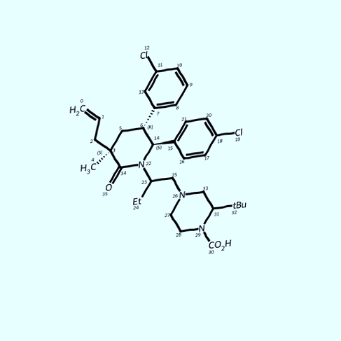 C=CC[C@@]1(C)C[C@H](c2cccc(Cl)c2)[C@@H](c2ccc(Cl)cc2)N(C(CC)CN2CCN(C(=O)O)C(C(C)(C)C)C2)C1=O